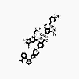 CO[C@@H](C)COc1nc2[nH]cc(F)c2cc1Oc1cc(N2CCC3(CC2)CN(C2CCC[C@H]2c2ccccc2C(C)C)C3)ccc1C(=O)NS(=O)(=O)c1cc2c(c([N+](=O)[O-])c1)N[C@@H]([C@H]1CC[C@](C)(O)CC1)CO2